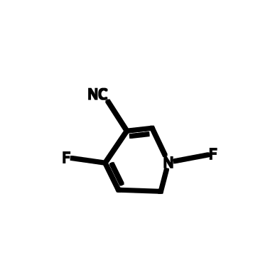 N#CC1=CN(F)CC=C1F